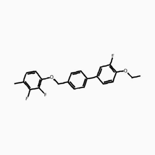 CCOc1ccc(-c2ccc(COc3ccc(C)c(F)c3F)cc2)cc1F